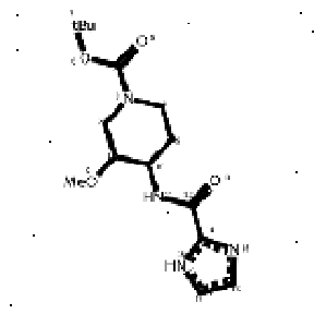 COC1CN(C(=O)OC(C)(C)C)CCC1NC(=O)c1ncc[nH]1